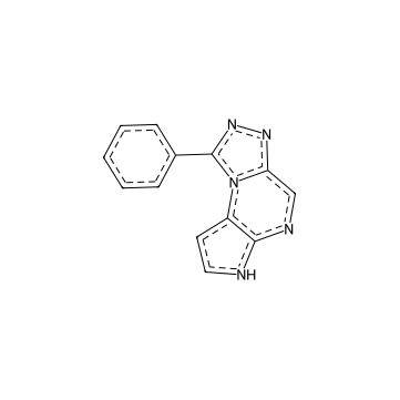 c1ccc(-c2nnc3cnc4[nH]ccc4n23)cc1